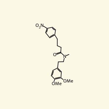 COc1ccc(CCN(C)C(=O)CCCc2ccc([N+](=O)[O-])cc2)cc1OC